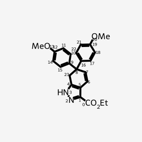 CCOC(=O)c1n[nH]c2c1C=CC(c1ccc(OC)cc1)(c1ccc(OC)cc1)C2